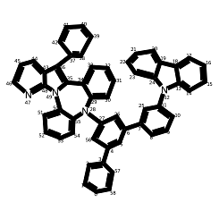 c1ccc(-c2cc(-c3cccc(-n4c5ccccc5c5ccccc54)c3)cc(N3c4ccccc4-c4c(-c5ccccc5)c5cccnc5n4-c4ccccc43)c2)cc1